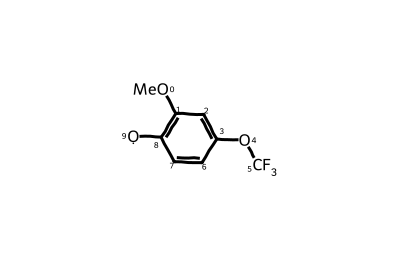 COc1cc(OC(F)(F)F)ccc1[O]